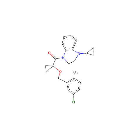 O=C(N1CCN(C2CC2)c2ccccc21)C1(OCc2cc(Cl)ccc2C(F)(F)F)CC1